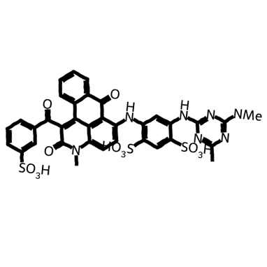 CNc1nc(C)nc(Nc2cc(Nc3ccc4c5c3C(=O)c3ccccc3-c5c(C(=O)c3cccc(S(=O)(=O)O)c3)c(=O)n4C)c(S(=O)(=O)O)cc2S(=O)(=O)O)n1